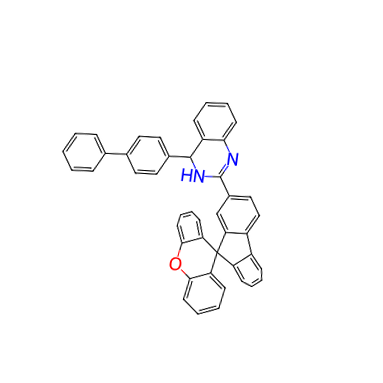 c1ccc(-c2ccc(C3NC(c4ccc5c(c4)C4(c6ccccc6Oc6ccccc64)c4ccccc4-5)=Nc4ccccc43)cc2)cc1